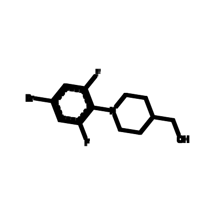 OCC1CCN(c2c(F)cc(Br)cc2F)CC1